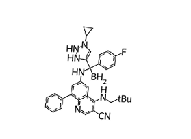 BC(Nc1cc(-c2ccccc2)c2ncc(C#N)c(NCC(C)(C)C)c2c1)(C1=CN(C2CC2)NN1)c1ccc(F)cc1